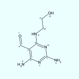 Nc1nc(N)c(C=O)c(NCCO)n1